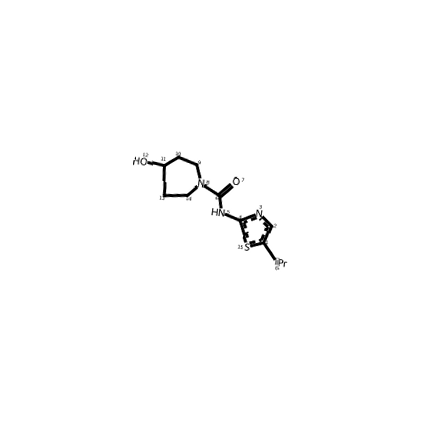 CC(C)c1cnc(NC(=O)N2CCC(O)CC2)s1